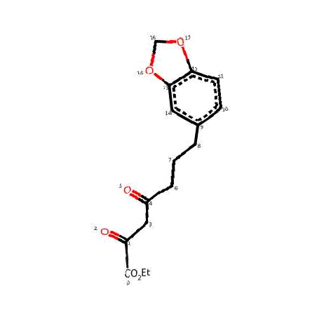 CCOC(=O)C(=O)CC(=O)CCCc1ccc2c(c1)OCO2